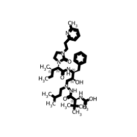 CC[C@H](C)[C@@H](C(=O)N[C@@H](Cc1ccccc1)[C@@H](O)CN(CCC(C)C)NC(=O)[C@@H](NC(=O)O)C(C)(C)C)N1CCN(CCc2cccc(C)n2)C1=O